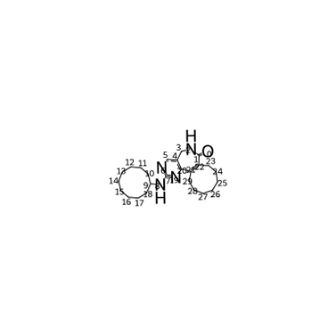 O=C1NCc2cnc(NC3CCCCCCCCC3)nc2C2=C1CCCCCCC2